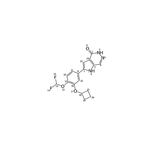 O=c1[nH]ncc2[nH]c(-c3ccc(OC(F)F)c(OC4CCC4)c3)cc12